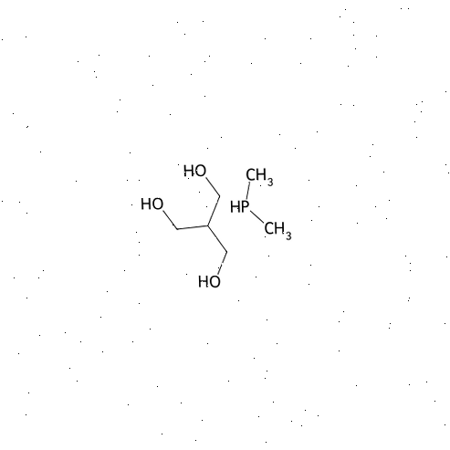 CPC.OCC(CO)CO